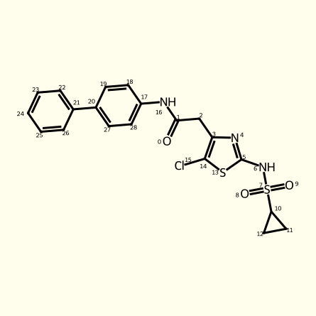 O=C(Cc1nc(NS(=O)(=O)C2CC2)sc1Cl)Nc1ccc(-c2ccccc2)cc1